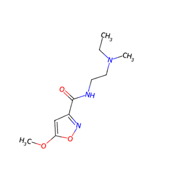 CCN(C)CCNC(=O)c1cc(OC)on1